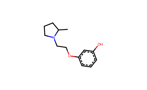 CC1CCCN1CCOc1cccc(O)c1